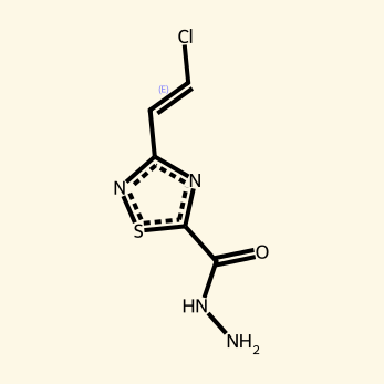 NNC(=O)c1nc(/C=C/Cl)ns1